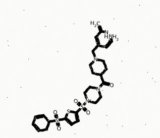 C=C(N)/C=C(\C=C/N)CN1CCC(C(=O)N2CCN(S(=O)(=O)c3ccc(S(=O)(=O)C4C=CC=CC4)s3)CC2)CC1